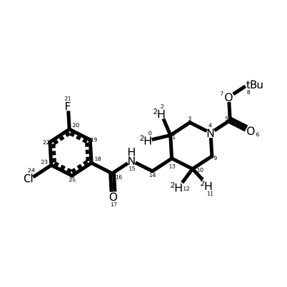 [2H]C1([2H])CN(C(=O)OC(C)(C)C)CC([2H])([2H])C1CNC(=O)c1cc(F)cc(Cl)c1